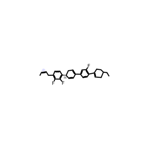 C/C=C\Cc1ccc([C@@H]2C=CC(c3ccc(C4=CCC(CC)CC4)c(F)c3)=CC2)c(F)c1F